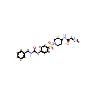 C=CC(=O)NC1CCN(S(=O)(=O)c2ccc(CC(=O)NCc3ccccc3)cc2)CC1